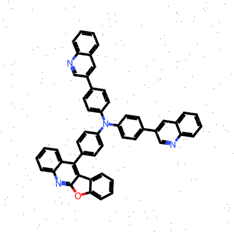 c1ccc2ncc(-c3ccc(N(c4ccc(-c5cnc6ccccc6c5)cc4)c4ccc(-c5c6ccccc6nc6oc7ccccc7c56)cc4)cc3)cc2c1